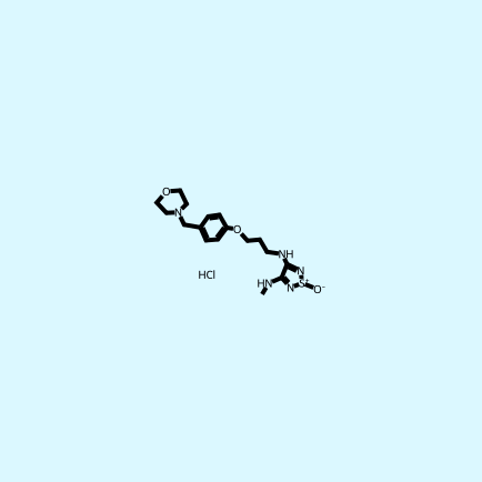 CNc1n[s+]([O-])nc1NCCCOc1ccc(CN2CCOCC2)cc1.Cl